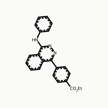 CCOC(=O)c1ccc(-c2nnc(Nc3ccccc3)c3ccccc23)cc1